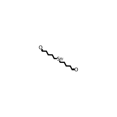 O=CCCC[CH2][Sn][CH2]CCCC=O